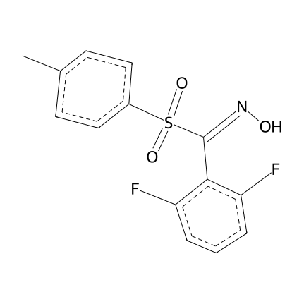 Cc1ccc(S(=O)(=O)/C(=N/O)c2c(F)cccc2F)cc1